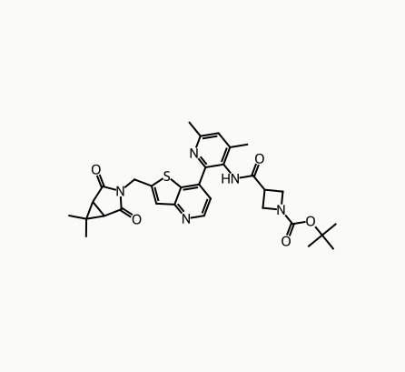 Cc1cc(C)c(NC(=O)C2CN(C(=O)OC(C)(C)C)C2)c(-c2ccnc3cc(CN4C(=O)C5C(C4=O)C5(C)C)sc23)n1